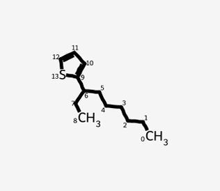 CCCCCCC(CC)c1cccs1